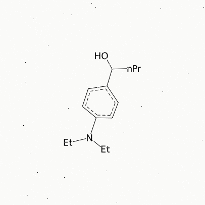 CCCC(O)c1ccc(N(CC)CC)cc1